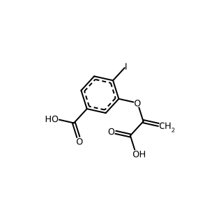 C=C(Oc1cc(C(=O)O)ccc1I)C(=O)O